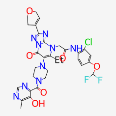 CCc1c(N2CCN(C(=O)c3ncnc(C)c3O)CC2)c(=O)n2nc(C3=CCOCC3)nc2n1CC(=O)Nc1ccc(OC(F)F)cc1Cl